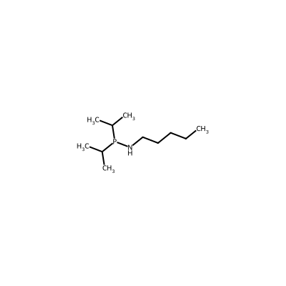 CCCCCNP(C(C)C)C(C)C